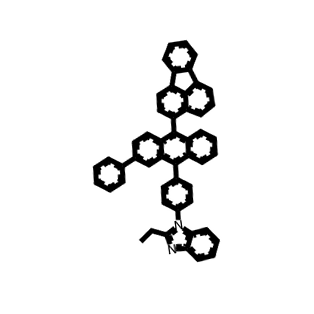 CCc1nc2ccccc2n1-c1ccc(-c2c3ccccc3c(-c3ccc4c5c(cccc35)-c3ccccc3-4)c3ccc(-c4ccccc4)cc23)cc1